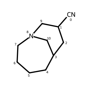 N#CC1CC2CCCCN(C1)C2